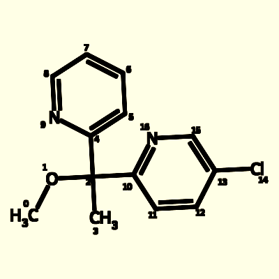 COC(C)(c1ccccn1)c1ccc(Cl)cn1